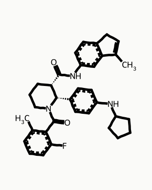 CC1=CCc2ccc(NC(=O)[C@H]3CCCN(C(=O)c4c(C)cccc4F)[C@H]3c3ccc(NC4CCCC4)cc3)cc21